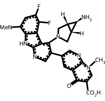 CNc1cc(F)c(F)c2c1[nH]c1ncc(-c3cnc4c(c3)c(=O)c(C(=O)O)cn4C)c(N3C[C@@H]4[C@@H](N)[C@@H]4C3)c12